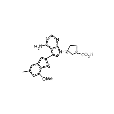 COc1cc(C)cc2cc(-c3cn([C@@H]4CCN(C(=O)O)C4)c4ncnc(N)c34)sc12